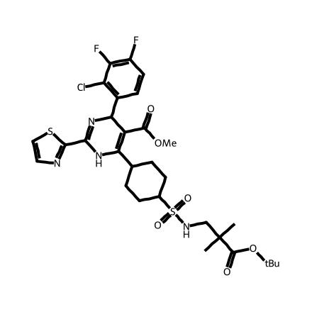 COC(=O)C1=C(C2CCC(S(=O)(=O)NCC(C)(C)C(=O)OC(C)(C)C)CC2)NC(c2nccs2)=NC1c1ccc(F)c(F)c1Cl